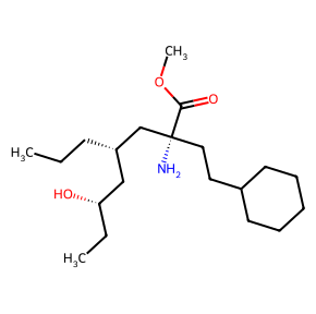 CCC[C@@H](C[C@@H](O)CC)C[C@](N)(CCC1CCCCC1)C(=O)OC